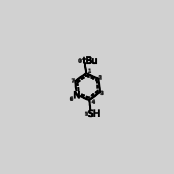 CC(C)(C)c1ccc(S)nc1